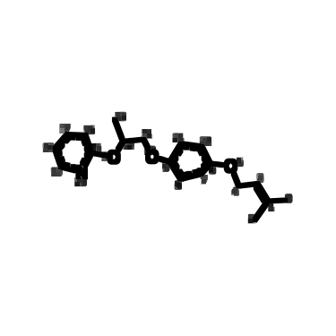 CC(C)=CCOc1ccc(OCC(C)Oc2ccccn2)cc1